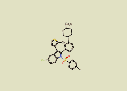 Cc1ccc(S(=O)(=O)n2c(-c3cccc(C4CCC(C(=O)O)CC4)c3)c(-c3ccsc3C#N)c3cc(F)ccc32)cc1